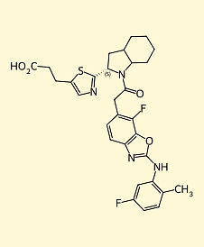 Cc1ccc(F)cc1Nc1nc2ccc(CC(=O)N3C4CCCCC4C[C@H]3c3ncc(CCC(=O)O)s3)c(F)c2o1